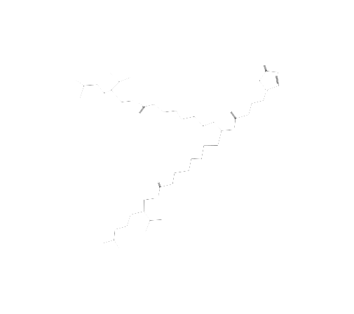 C=C1CN(CCCC(=O)OC(CCCCCCCC(=O)OCC(CCCC(C)C)C(C)C)CCCCCCCC(=O)OCC(CCC(C)C)C(C)C)C=N1